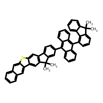 CC1(C)c2cc(-c3c4ccccc4c(-c4cccc5c4-c4ccccc4C5(C)C)c4ccccc34)ccc2-c2cc3sc4cc5ccccc5cc4c3cc21